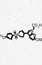 COc1ccc2c(C3=CCN(S(=O)(=O)c4ccc(OC(C)C)cc4)CC3)cn(CC(=O)O)c2n1